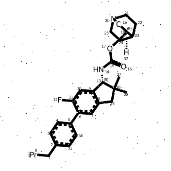 CC(C)Cc1ccc(-c2cc3c(cc2F)[C@H](NC(=O)O[C@H]2CN4CCC2CC4)C(C)(C)C3)cc1